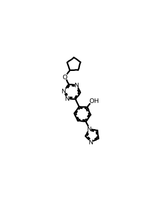 Oc1cc(-n2ccnc2)ccc1-c1cnc(OC2CCCC2)nn1